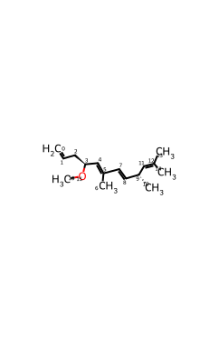 C=CC[C@@H](/C=C(C)/C=C/[C@@H](C)C=C(C)C)OC